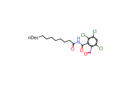 CCCCCCCCCCCCCCCCCC(=O)NC(=O)c1c(Cl)c(Cl)cc(Cl)c1I=O